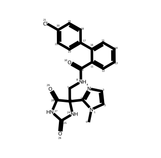 Cn1ccnc1C1(CNC(=O)c2ccccc2-c2ccc(Cl)cc2)NC(=O)NC1=O